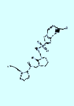 NC[C@@H]1CCCN1C(=O)CN1CCCC(NS(=O)(=O)c2cc3cc(Cl)ccc3s2)C1=O